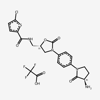 N[C@@H]1CCN(c2ccc(N3C[C@H](CNC(=O)c4ccc(Cl)s4)OC3=O)cc2)C1=O.O=C(O)C(F)(F)F